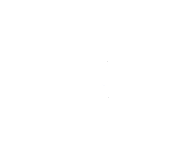 CC(C)(C)N1CCC2(CCN(C3CC3)C2)C1